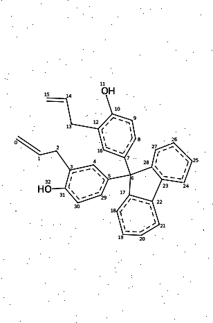 C=CCc1cc(C2(c3ccc(O)c(CC=C)c3)c3ccccc3-c3ccccc32)ccc1O